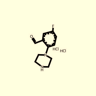 Cl.Cl.O=Cc1cc(F)ccc1N1CCNCC1